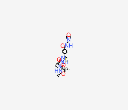 CC(C)[C@@H](NC(=O)C1CC1)C(=O)N1CCC[C@H]1C(=O)Nc1nc(-c2ccc(C(=O)NCCN3CCOCC3)cc2)cs1